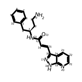 NCC[C@H](Cc1ccccc1)NC(=O)C=Cc1n[nH]c2ncccc12